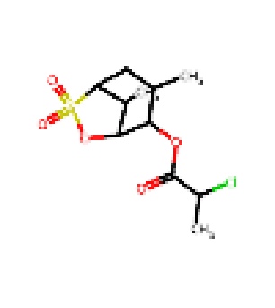 CC(Cl)C(=O)OC1C(C)CC2C(C)C1OS2(=O)=O